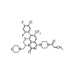 C=CC(=O)N1CCN(c2nc(=O)n3c4c(c(-c5cc(Cl)c(F)cc5F)c(C(F)(F)F)cc24)SCC3CN2CCOCC2)CC1